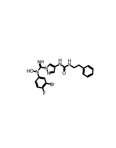 N=C(N(O)c1ccc(F)c(Br)c1)n1cc(NC(=O)NCCc2ccccc2)cn1